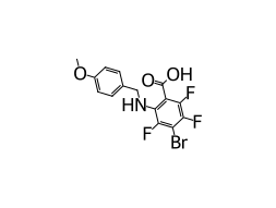 COc1ccc(CNc2c(F)c(Br)c(F)c(F)c2C(=O)O)cc1